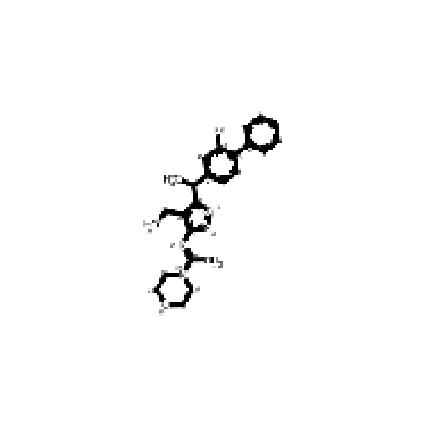 CC(c1ccc(-c2ccccc2)c(F)c1)c1onc(/N=C(\N)N2CCOCC2)c1CO